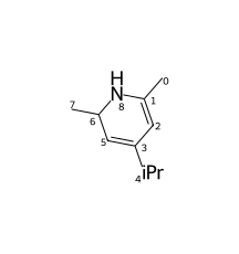 CC1=CC(C(C)C)=CC(C)N1